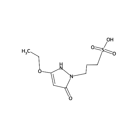 CCOc1cc(=O)n(CCCS(=O)(=O)O)[nH]1